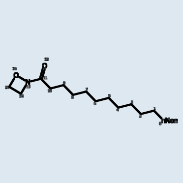 CCCCCCCCCCCCCCCCCCCC(=O)N1CCO1